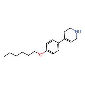 CCCCCCOc1ccc(C2=CCNCC2)cc1